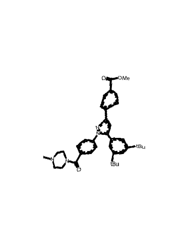 COC(=O)c1ccc(-c2cc(-c3cc(C(C)(C)C)cc(C(C)(C)C)c3)n(-c3ccc(C(=O)N4CCN(C)CC4)cc3)n2)cc1